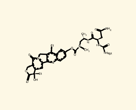 CCCCCCCC(=O)N[C@H](CC(N)=O)C(=O)N[C@@H](C)CN(C)C(=O)Oc1ccc2nc3c(c(CC)c2c1)Cn1c-3cc2c(c1=O)COC(=O)[C@]2(O)CC